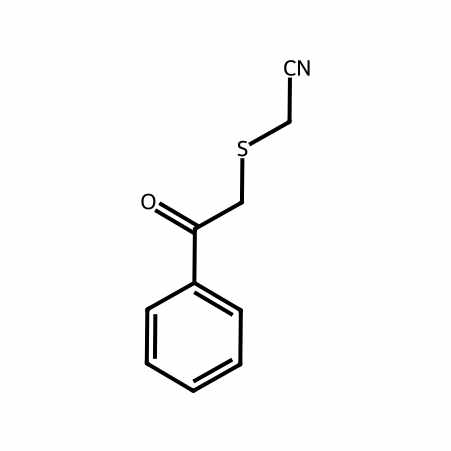 N#CCSCC(=O)c1ccccc1